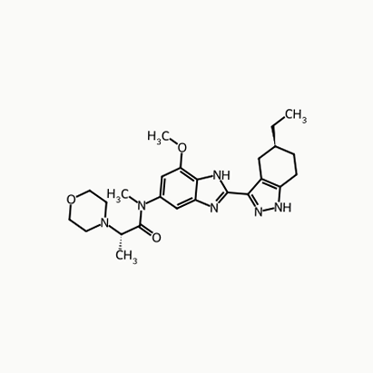 CC[C@H]1CCc2[nH]nc(-c3nc4cc(N(C)C(=O)[C@H](C)N5CCOCC5)cc(OC)c4[nH]3)c2C1